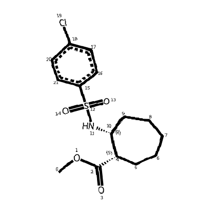 COC(=O)[C@H]1CCCCC[C@H]1NS(=O)(=O)c1ccc(Cl)cc1